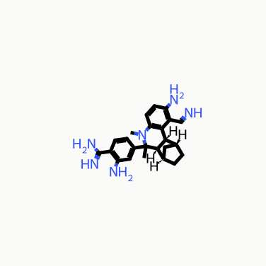 CN1c2ccc(N)c(C=N)c2[C@H]2[C@@H]3CC[C@H](C3)[C@H]2C1(C)c1ccc(C(=N)N)c(N)c1